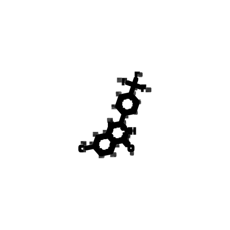 O=c1[nH]c(-c2ccc(C(F)(F)F)cc2)nc2cc(Cl)ccc12